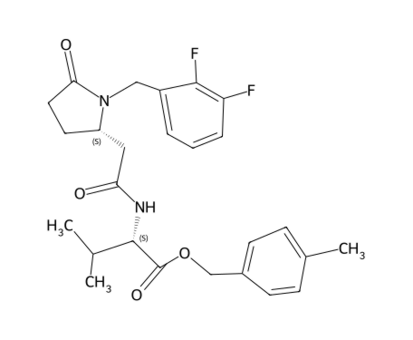 Cc1ccc(COC(=O)[C@@H](NC(=O)C[C@@H]2CCC(=O)N2Cc2cccc(F)c2F)C(C)C)cc1